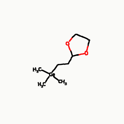 [CH3][Ge]([CH3])([CH3])[CH2]CC1OCCO1